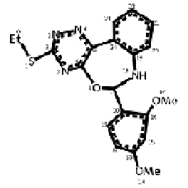 CCSc1nnc2c(n1)OC(c1ccc(OC)cc1OC)Nc1ccccc1-2